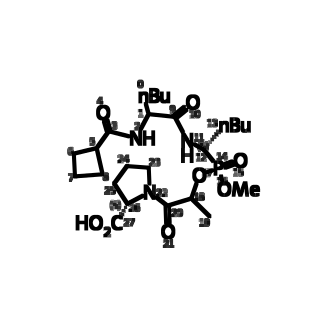 CCCCC(NC(=O)C1CCC1)C(=O)N[C@H](CCCC)P(=O)(OC)OC(C)C(=O)N1CCC[C@H]1C(=O)O